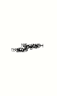 CC(C)(C)Oc1ccc2cc(C(=O)Oc3ccc(OC(=O)c4ccc5cc(O)ccc5c4)cc3C#N)ccc2c1